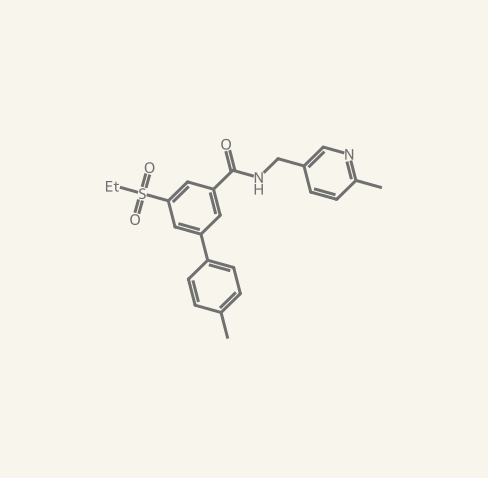 CCS(=O)(=O)c1cc(C(=O)NCc2ccc(C)nc2)cc(-c2ccc(C)cc2)c1